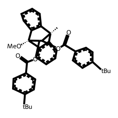 CO[C@]12c3ccccc3[C@](C)(c3ccccc31)C(OC(=O)c1ccc(C(C)(C)C)cc1)C2OC(=O)c1ccc(C(C)(C)C)cc1